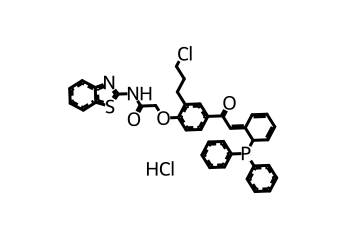 Cl.O=C(COc1ccc(C(=O)C=C2C=CC=CC2P(c2ccccc2)c2ccccc2)cc1CCCCl)Nc1nc2ccccc2s1